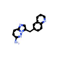 Nc1ccc2ncc(Cc3ccc4ncccc4c3)n2n1